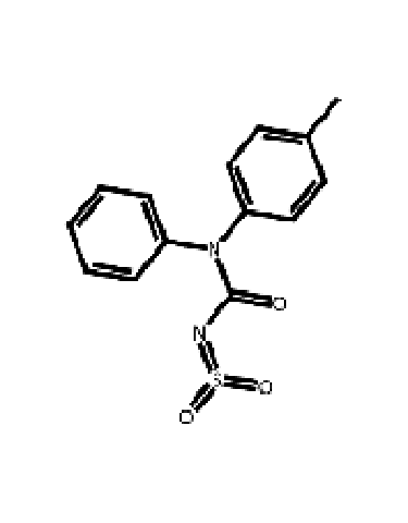 Cc1ccc(N(C(=O)N=S(=O)=O)c2ccccc2)cc1